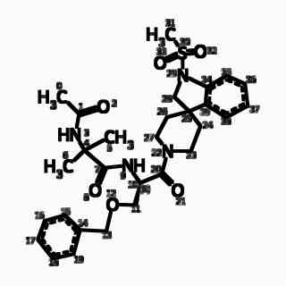 CC(=O)NC(C)(C)C(=O)N[C@H](COCc1ccccc1)C(=O)N1CCC2(CC1)CN(S(C)(=O)=O)c1ccccc12